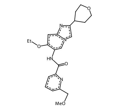 CCOc1cc2nc(C3CCOCC3)cn2cc1NC(=O)c1cccc(COC)n1